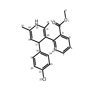 COC(=O)c1cccnc1C1=C(C)NC(C)=CC1c1ccc(Cl)cc1